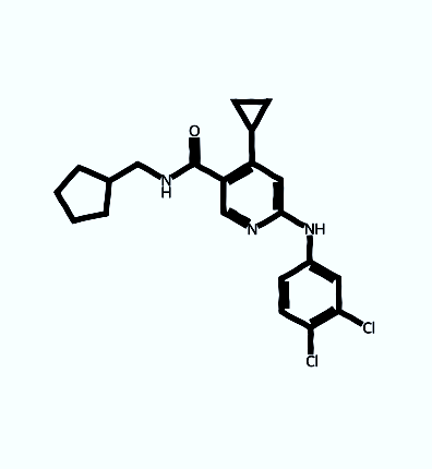 O=C(NCC1CCCC1)c1cnc(Nc2ccc(Cl)c(Cl)c2)cc1C1CC1